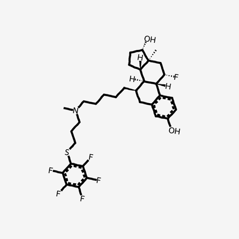 CN(CCCCC[C@@H]1Cc2cc(O)ccc2[C@@H]2[C@@H]1[C@@H]1CC[C@H](O)[C@@]1(C)C[C@@H]2F)CCCSc1c(F)c(F)c(F)c(F)c1F